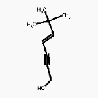 CC(C)(C)C=CC#CCO